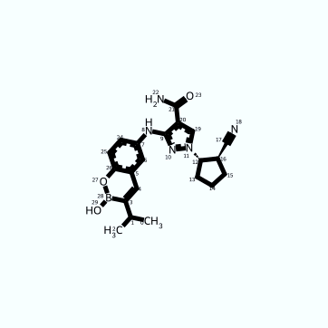 CC(C)C1=Cc2cc(Nc3nn([C@H]4CCC[C@@H]4C#N)cc3C(N)=O)ccc2OB1O